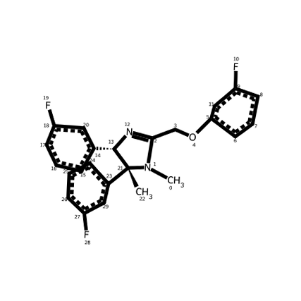 CN1C(COc2cccc(F)c2)=N[C@@H](c2cccc(F)c2)[C@@]1(C)c1cccc(F)c1